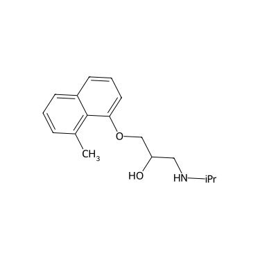 Cc1cccc2cccc(OCC(O)CNC(C)C)c12